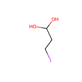 OC(O)CCI